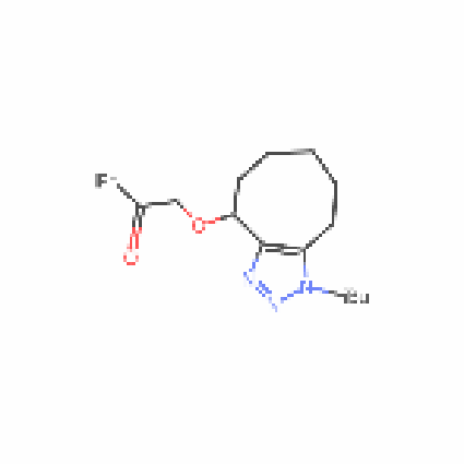 CCC(C)n1nnc2c1CCCCCC2OCC(=O)C(C)C